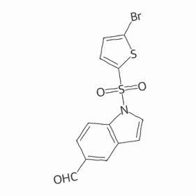 O=Cc1ccc2c(ccn2S(=O)(=O)c2ccc(Br)s2)c1